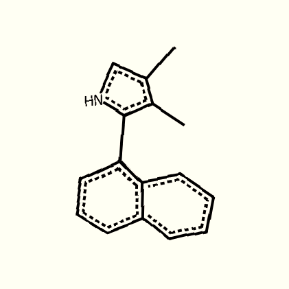 Cc1c[nH]c(-c2cccc3ccccc23)c1C